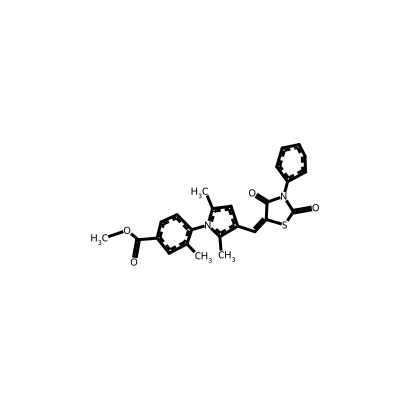 COC(=O)c1ccc(-n2c(C)cc(C=C3SC(=O)N(c4ccccc4)C3=O)c2C)c(C)c1